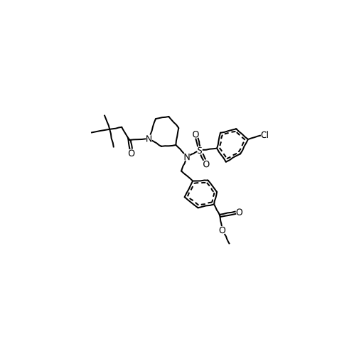 COC(=O)c1ccc(CN(C2CCCN(C(=O)CC(C)(C)C)C2)S(=O)(=O)c2ccc(Cl)cc2)cc1